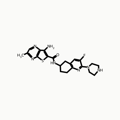 Cc1cnc2c(N)c(C(=O)NC3CCc4nc(N5CCNCC5)c(F)cc4C3)sc2n1